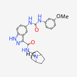 COc1cccc(NC(=O)Nc2ccc3[nH]nc(C(=O)NC4CC5CCC(C4)N5C)c3c2)c1